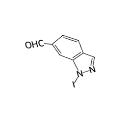 O=Cc1ccc2cnn(I)c2c1